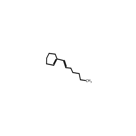 CCCCCC=CC1=CCCCC1